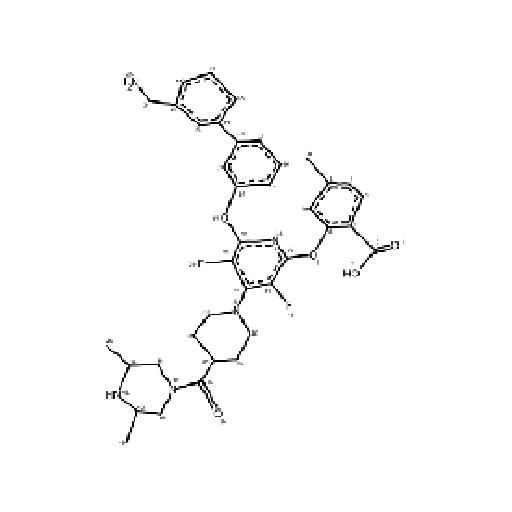 Cc1ccc(C(=O)O)c(Oc2nc(Oc3cccc(-c4cccc(CN)c4)c3)c(F)c(N3CCC(C(=O)N4CC(C)NC(C)C4)CC3)c2F)c1